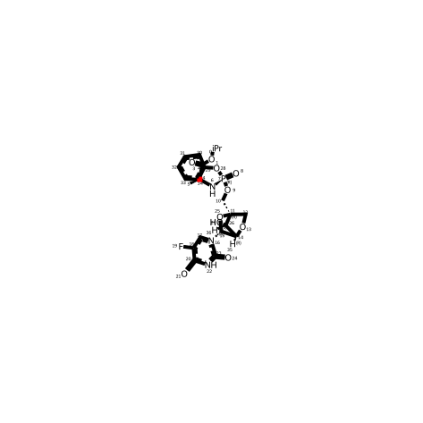 CC(C)OC(=O)[C@H](C)N[P@@](=O)(OC[C@@]12CO[C@@H]([C@H](n3cc(F)c(=O)[nH]c3=O)O1)[C@@H]2O)Oc1ccccc1